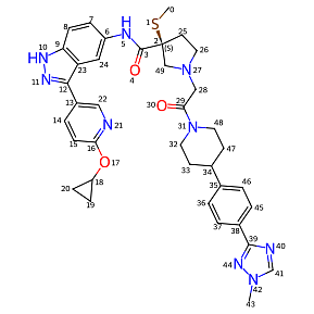 CS[C@@]1(C(=O)Nc2ccc3[nH]nc(-c4ccc(OC5CC5)nc4)c3c2)CCN(CC(=O)N2CCC(c3ccc(-c4ncn(C)n4)cc3)CC2)C1